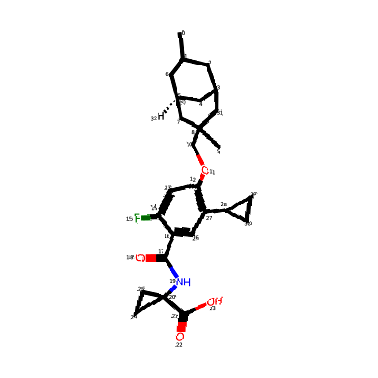 CC1CC2C[C@H](C1)CC(C)(COc1cc(F)c(C(=O)NC3(C(=O)O)CC3)cc1C1CC1)C2